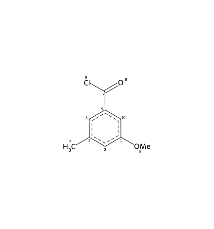 COc1cc(C)cc(C(=O)Cl)c1